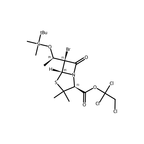 C[C@@H](O[Si](C)(C)C(C)(C)C)[C@]1(Br)C(=O)N2[C@@H](C(=O)OC(Cl)(Cl)CCl)C(C)(C)S[C@@H]21